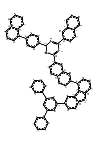 c1ccc(-c2cc(-c3ccccc3)cc(-c3ccc4oc5cccc(-c6ccc7ccc(C8=NC(c9ccc%10ccccc%10c9)=NC(c9ccc(-c%10cccc%11ccccc%10%11)cc9)N8)cc7c6)c5c4c3)c2)cc1